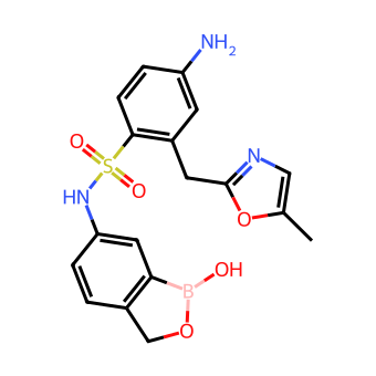 Cc1cnc(Cc2cc(N)ccc2S(=O)(=O)Nc2ccc3c(c2)B(O)OC3)o1